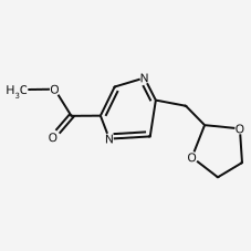 COC(=O)c1cnc(CC2OCCO2)cn1